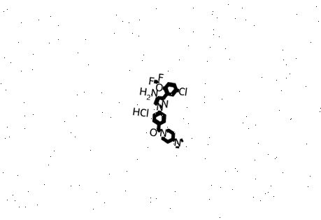 CN(C)C1CCN(C(=O)c2ccc(-n3cc(N)c(-c4cc(Cl)ccc4OC(F)F)n3)cc2)CC1.Cl